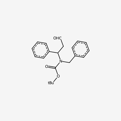 CC(C)(C)OC(=O)N(Cc1ccccc1)C(CC=O)c1ccccc1